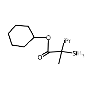 CC(C)C(C)([SiH3])C(=O)OC1CCCCC1